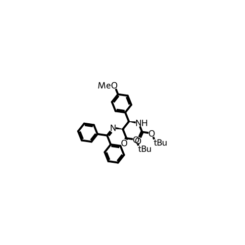 COc1ccc([C@@H](NC(=O)OC(C)(C)C)[C@H](N=C(c2ccccc2)c2ccccc2)C(=O)OC(C)(C)C)cc1